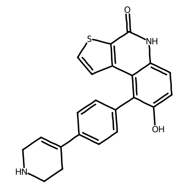 O=c1[nH]c2ccc(O)c(-c3ccc(C4=CCNCC4)cc3)c2c2ccsc12